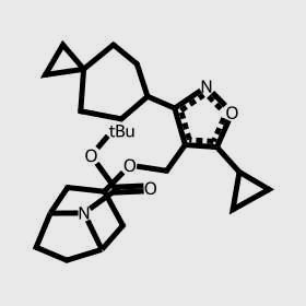 CC(C)(C)OC(=O)N1C2CCC1CC(OCc1c(C3CCC4(CC3)CC4)noc1C1CC1)C2